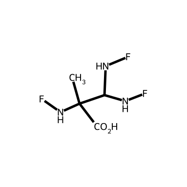 CC(NF)(C(=O)O)C(NF)NF